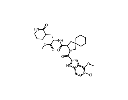 COC(=O)[C@H](CC1CCCNC1=O)NC(=O)C1CC2(CCCCC2)CN1C(=O)c1cc2c(OC)c(Cl)ccc2[nH]1